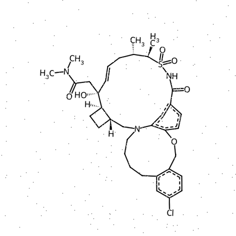 C[C@@H]1[C@@H](C)C/C=C/[C@](O)(CC(=O)N(C)C)[C@@H]2CC[C@H]2CN2CCCCc3cc(Cl)ccc3COc3ccc(cc32)C(=O)NS1(=O)=O